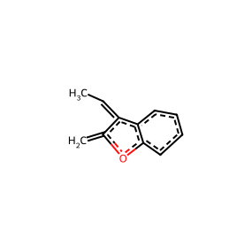 C=c1oc2ccccc2/c1=C/C